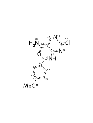 COc1ccc(CNc2nc(Cl)ncc2C(N)=O)cc1